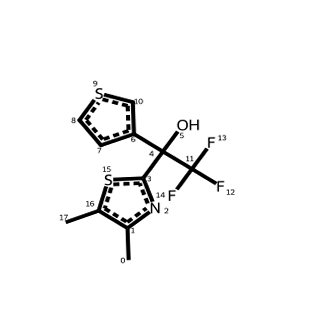 Cc1nc(C(O)(c2ccsc2)C(F)(F)F)sc1C